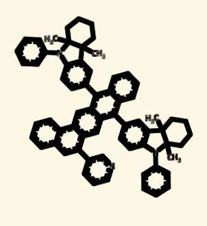 CC12CCCCC1(C)N(c1ccccc1)c1ccc(-c3c4ccccc4c(-c4ccc5c(c4)C4(C)CCCCC4(C)N5c4ccccc4)c4cc5c(cc34)c(-c3cccnc3)cc3ccccc35)cc12